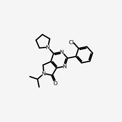 CC(C)N1Cc2c(nc(-c3ccccc3Cl)nc2N2CCCC2)C1=O